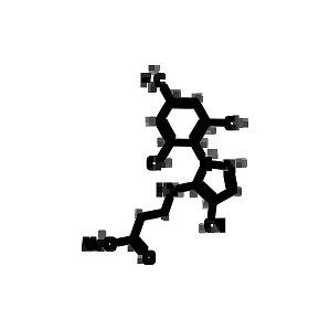 COC(=O)CCNc1c(C#N)cnn1-c1c(Cl)cc(C(F)(F)F)cc1Cl